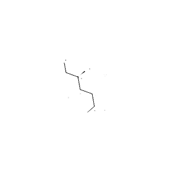 O=C[C@H](O)[C@@H](O)[C@H](O)[C@H](O)CO.[MgH2]